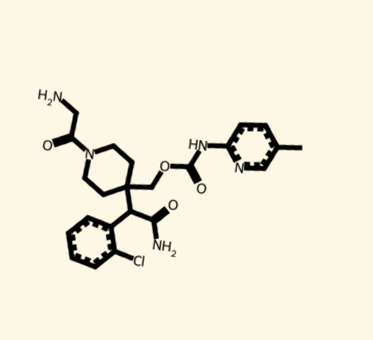 Cc1ccc(NC(=O)OCC2(C(C(N)=O)c3ccccc3Cl)CCN(C(=O)CN)CC2)nc1